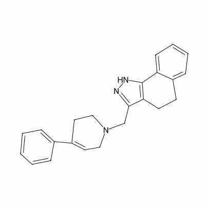 C1=C(c2ccccc2)CCN(Cc2n[nH]c3c2CCc2ccccc2-3)C1